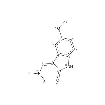 COc1ccc2c(c1)C(=CN(C)C)C(=O)N2